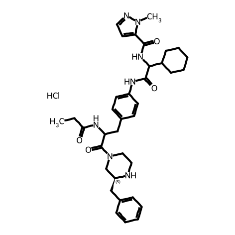 CCC(=O)NC(Cc1ccc(NC(=O)C(NC(=O)c2ccnn2C)C2CCCCC2)cc1)C(=O)N1CCN[C@@H](Cc2ccccc2)C1.Cl